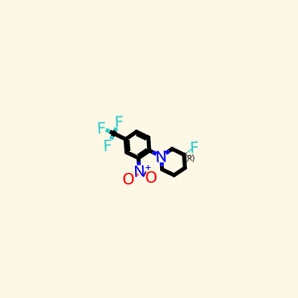 O=[N+]([O-])c1cc(C(F)(F)F)ccc1N1CCC[C@@H](F)C1